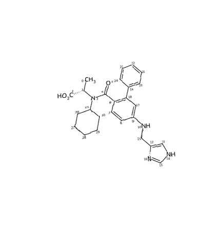 C[C@@H](C(=O)O)N(C(=O)c1ccc(NCc2c[nH]cn2)cc1-c1ccccc1)C1CCCCC1